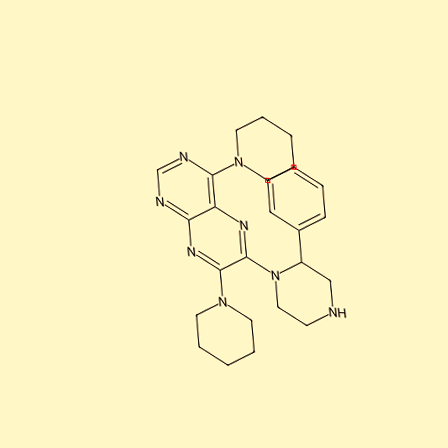 c1ccc(C2CNCCN2c2nc3c(N4CCCCC4)ncnc3nc2N2CCCCC2)cc1